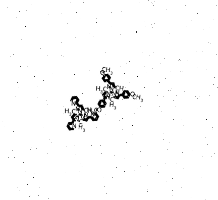 COc1ccc(-c2cc(C)n(C(n3nc(-c4ccc(OC)cc4)cc3C)n3nc(-c4ccc(OC)cc4)cc3C)n2)cc1.Cc1cc(-c2ccccn2)nn1C(n1nc(-c2ccccn2)cc1C)n1nc(-c2ccccn2)cc1C